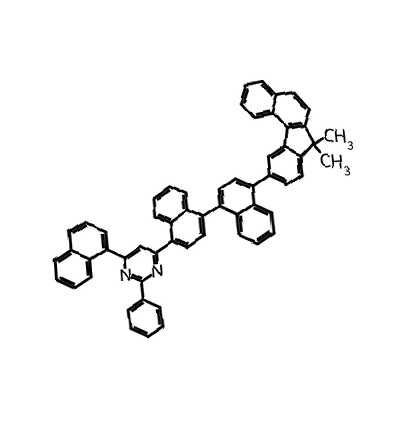 CC1(C)c2ccc(-c3ccc(-c4ccc(-c5cc(-c6cccc7ccccc67)nc(-c6ccccc6)n5)c5ccccc45)c4ccccc34)cc2-c2c1ccc1ccccc21